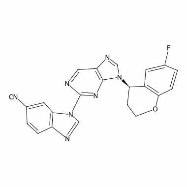 [C-]#[N+]c1ccc2ncn(-c3ncc4ncn([C@@H]5CCOc6ccc(F)cc65)c4n3)c2c1